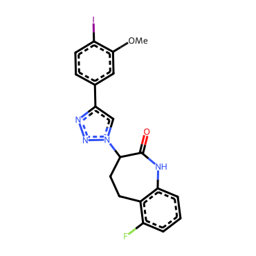 COc1cc(-c2cn(C3CCc4c(F)cccc4NC3=O)nn2)ccc1I